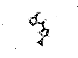 N=c1sccn1C(=O)c1ccn(C2CC2)n1